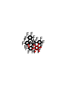 Fc1c(F)c(F)c(-c2c(F)c(F)c(F)c(F)c2-c2nc(-c3c(F)c(F)c(F)c(F)c3-c3c(F)c(F)c(F)c(F)c3F)nc(-c3c(F)c(F)c(F)c(F)c3-c3c(F)c(F)c(F)c(F)c3F)n2)c(F)c1F